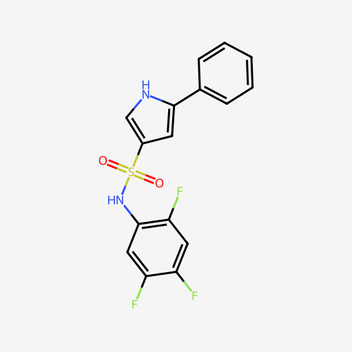 O=S(=O)(Nc1cc(F)c(F)cc1F)c1c[nH]c(-c2ccccc2)c1